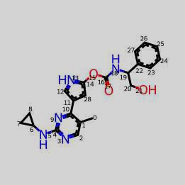 Cc1cnc(NC2CC2)nc1-c1c[nH]c(OC(=O)NC(CO)c2ccccc2)c1